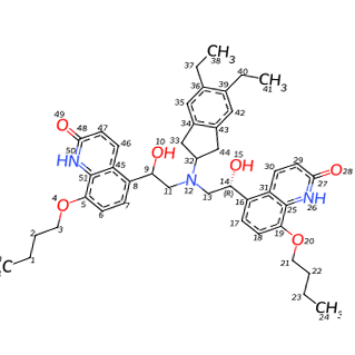 CCCCOc1ccc(C(O)CN(C[C@H](O)c2ccc(OCCCC)c3[nH]c(=O)ccc23)C2Cc3cc(CC)c(CC)cc3C2)c2ccc(=O)[nH]c12